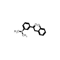 CN(C)c1cccc(C(=O)Cc2ccccc2Cl)c1